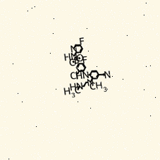 CNCCN(C)c1cc(C#N)ccc1Nc1cc(F)c(S(=O)(=O)Nc2ccc(F)cn2)cc1Cl